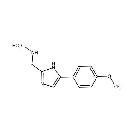 O=C(O)NCc1ncc(-c2ccc(OC(F)(F)F)cc2)[nH]1